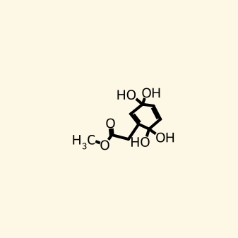 COC(=O)CC1=CC(O)(O)C=CC1(O)O